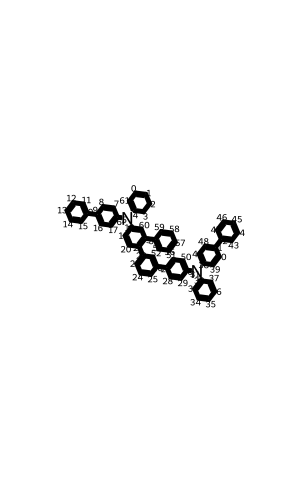 C1=CCCC(N(c2ccc(-c3ccccc3)cc2)c2ccc(-c3cccc(-c4ccc(N(c5ccccc5)c5ccc(-c6ccccc6)cc5)cc4)c3)c(-c3ccccc3)c2)=C1